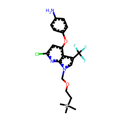 C[Si](C)(C)CCOCn1cc(C(F)(F)F)c2c(Oc3ccc(N)cc3)cc(Cl)nc21